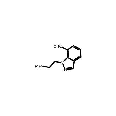 CNCCn1ncc2cccc(C=O)c21